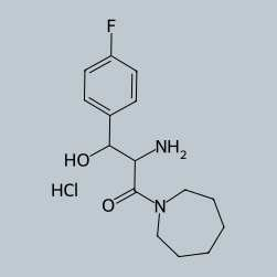 Cl.NC(C(=O)N1CCCCCC1)C(O)c1ccc(F)cc1